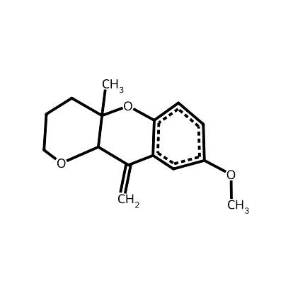 C=C1c2cc(OC)ccc2OC2(C)CCCOC12